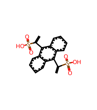 C=C(c1c2ccccc2c(C(=C)S(=O)(=O)O)c2ccccc12)S(=O)(=O)O